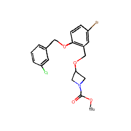 CC(C)(C)OC(=O)N1CC(OCc2cc(Br)ccc2OCc2cccc(Cl)c2)C1